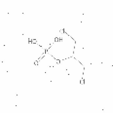 O=P(O)(O)OC(CCl)CCl